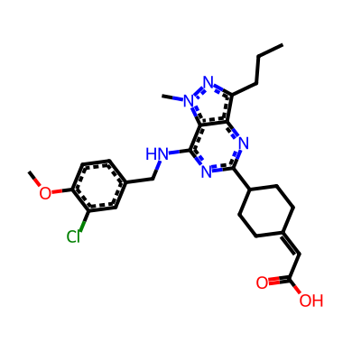 CCCc1nn(C)c2c(NCc3ccc(OC)c(Cl)c3)nc(C3CCC(=CC(=O)O)CC3)nc12